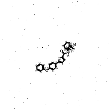 C[C@H]1[C@H](NC(=O)c2ccc(-c3ccc(Oc4ccccc4)cc3)o2)C2CCN1CC2